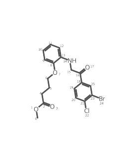 COC(=O)CCCOc1ccccc1NCC(=O)c1ccc(Cl)c(Br)c1